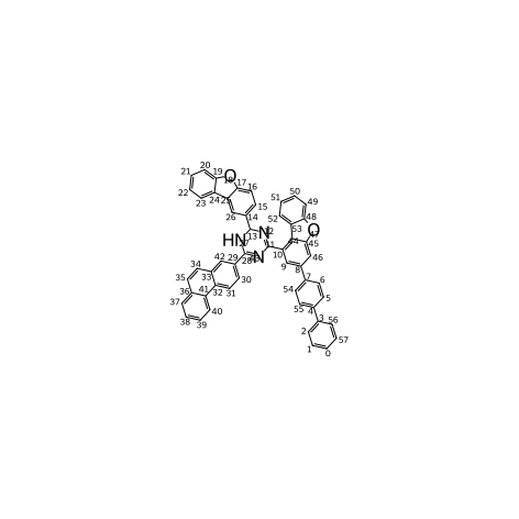 c1ccc(-c2ccc(-c3cc(C4=NC(c5ccc6oc7ccccc7c6c5)NC(c5ccc6c(ccc7ccccc76)c5)=N4)c4c(c3)oc3ccccc34)cc2)cc1